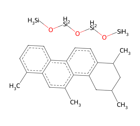 Cc1cccc2c1cc(C)c1c3c(ccc12)C(C)CC(C)C3.[SiH3]O[SiH2]O[SiH2]O[SiH3]